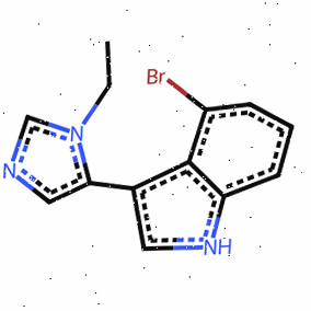 CCn1cncc1-c1c[nH]c2cccc(Br)c12